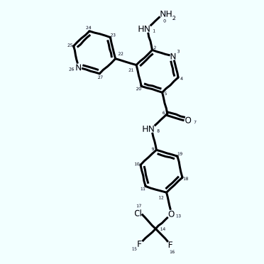 NNc1ncc(C(=O)Nc2ccc(OC(F)(F)Cl)cc2)cc1-c1cccnc1